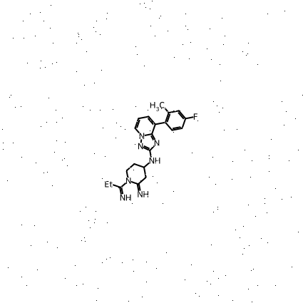 CCC(=N)N1CCC(Nc2nc3c(-c4ccc(F)cc4C)cccn3n2)CC1=N